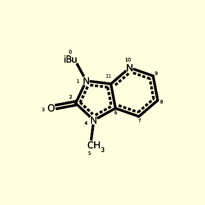 CCC(C)n1c(=O)n(C)c2cccnc21